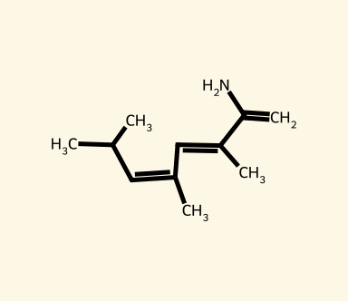 C=C(N)/C(C)=C/C(C)=C\C(C)C